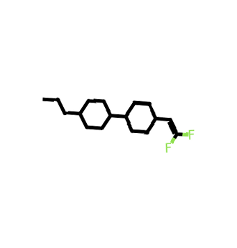 CCCC1CCC(C2CCC(C=C(F)F)CC2)CC1